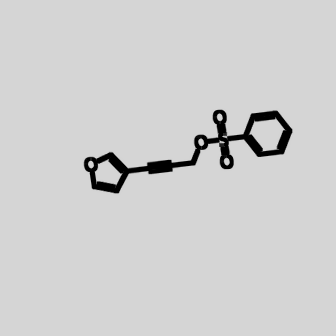 O=S(=O)(OCC#Cc1ccoc1)c1ccccc1